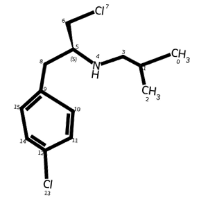 CC(C)CN[C@H](CCl)Cc1ccc(Cl)cc1